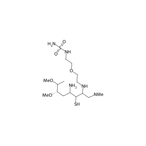 CNCC(NCCOCCNS(N)(=O)=O)C(S)C(N)C[C@H](OC)C(C)OC